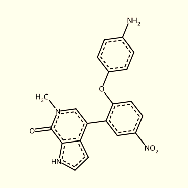 Cn1cc(-c2cc([N+](=O)[O-])ccc2Oc2ccc(N)cc2)c2cc[nH]c2c1=O